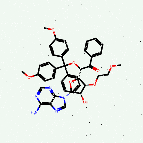 COCCO[C@H]1[C@@H](O)[C@H](n2cnc3c(N)ncnc32)O[C@@H]1C(OC(c1ccccc1)(c1ccc(OC)cc1)c1ccc(OC)cc1)C(=O)c1ccccc1